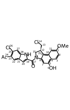 COc1ccc2c(O)cc3c(c2c1)[C@H](CCl)CN3C(=O)c1cc2cc(C(C)=O)c(Cl)cc2[nH]1